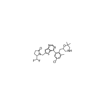 Cc1cc(Cl)cc(-c2ncnc3cc(CN4C(=O)CCC4C(F)F)sc23)c1CC1CNCC(C)(C)O1